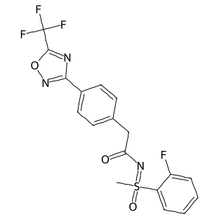 CS(=O)(=NC(=O)Cc1ccc(-c2noc(C(F)(F)F)n2)cc1)c1ccccc1F